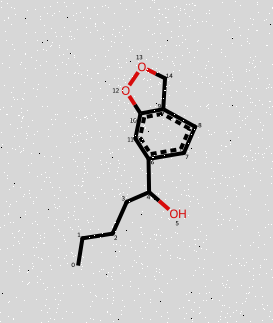 CCCCC(O)c1ccc2c(c1)OOC2